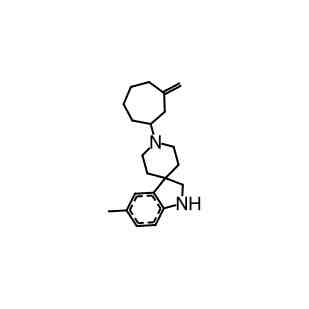 C=C1CCCCC(N2CCC3(CC2)CNc2ccc(C)cc23)C1